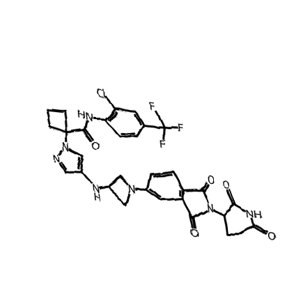 O=C1CCC(N2C(=O)c3ccc(N4CC(Nc5cnn(C6(C(=O)Nc7ccc(C(F)(F)F)cc7Cl)CCC6)c5)C4)cc3C2=O)C(=O)N1